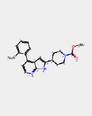 COc1ccccc1-c1ccnc2[nH]c(C3CCN(C(=O)OC(C)(C)C)CC3)cc12